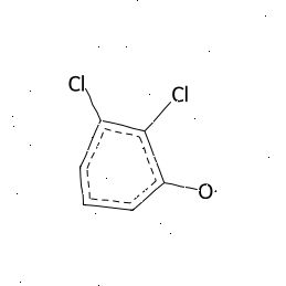 [O]c1cccc(Cl)c1Cl